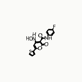 O=C(Nc1ccc(F)cc1)c1c(NO)cc(-c2cccs2)oc1=O